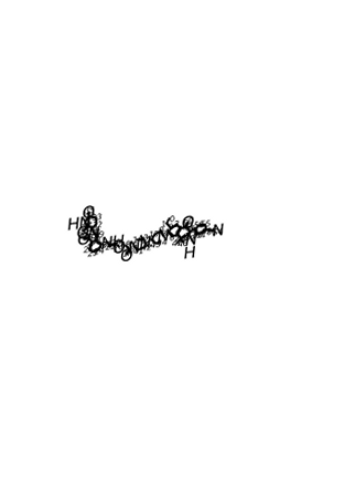 CCc1cc2c(cc1N1CCC(N3CCN(C(=O)COCCNc4cccc5c4CN(C4CCC(=O)NC4=O)C5=O)CC3)CC1)C(C)(C)c1[nH]c3cc(C#N)ccc3c1C2=O